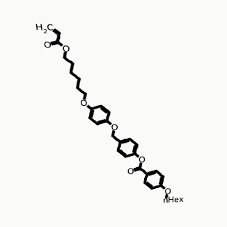 C=CC(=O)OCCCCCCOc1ccc(OCc2ccc(OC(=O)c3ccc(OCCCCCC)cc3)cc2)cc1